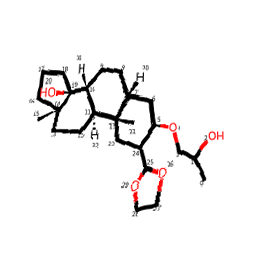 CC(O)CO[C@@H]1C[C@H]2CC[C@@H]3[C@H](CC[C@]4(C)CCC[C@]34O)[C@@]2(C)CC1C1OCCO1